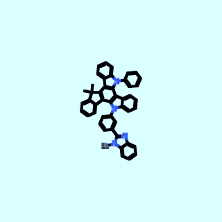 CCn1c(-c2cccc(-n3c4ccccc4c4c3c3c(c5c6ccccc6n(-c6ccccc6)c54)C(C)(C)c4ccccc4-3)c2)nc2ccccc21